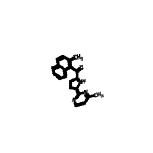 Cc1ccnc(C2CCC(C(=O)c3c(C)ccc4ccccc34)N2)n1